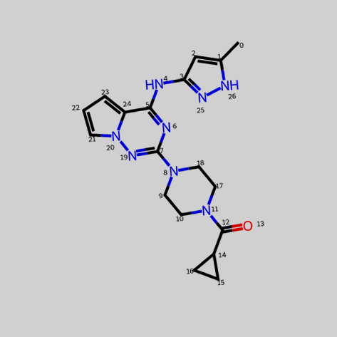 Cc1cc(Nc2nc(N3CCN(C(=O)C4CC4)CC3)nn3cccc23)n[nH]1